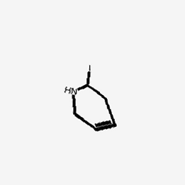 IC1CC=CCN1